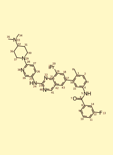 Cc1ccc(NC(=O)c2cccc(F)c2)cc1-c1cc(C(C)C)c2nc(Nc3ccc(N4CCC(N(C)C)CC4)nc3)ncc2c1